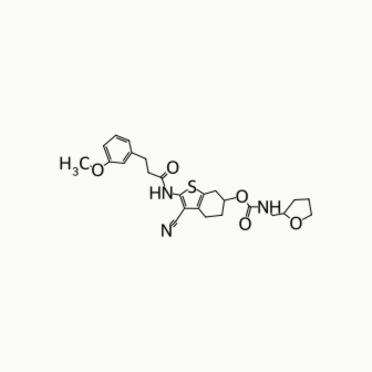 COc1cccc(CCC(=O)Nc2sc3c(c2C#N)CCC(OC(=O)NCC2CCCO2)C3)c1